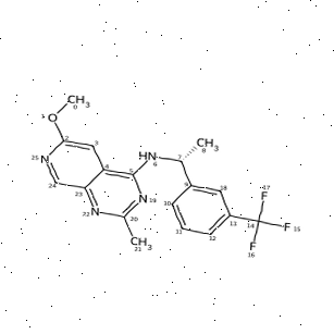 COc1cc2c(N[C@H](C)c3cccc(C(F)(F)F)c3)nc(C)nc2cn1